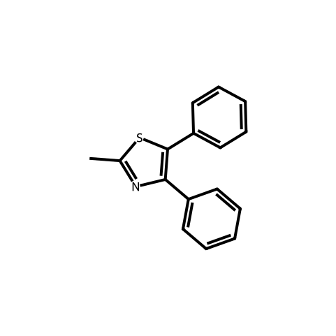 Cc1nc(-c2ccccc2)c(-c2ccccc2)s1